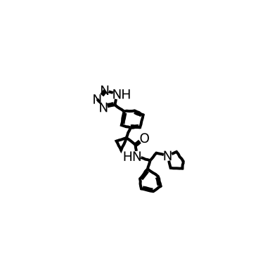 O=C(NC(CN1CCCC1)c1ccccc1)C1(c2cccc(-c3nnn[nH]3)c2)CC1